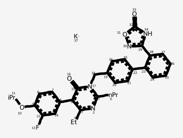 CCCc1nc(CC)c(-c2ccc(OC(C)C)c(F)c2)c(=O)n1Cc1ccc(-c2ccccc2-c2noc(=O)[nH]2)cc1.[K]